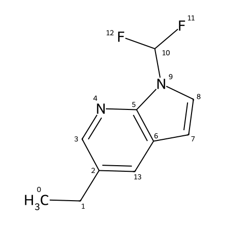 CCc1cnc2c(ccn2C(F)F)c1